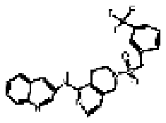 O=S(=O)(Cc1cccc(C(F)(F)F)c1)N1CCc2c(ccnc2Nc2cnc3ccccc3c2)C1